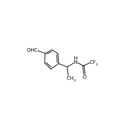 CC(NC(=O)C(F)(F)F)c1ccc(C=O)cc1